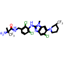 Cn1c(Nc2c(Cl)ccc(CNC(=O)C(C)(N)C(F)(F)F)c2Cl)nc2cc(Cl)c(N3CCCC(C(F)(F)F)C3)cc21